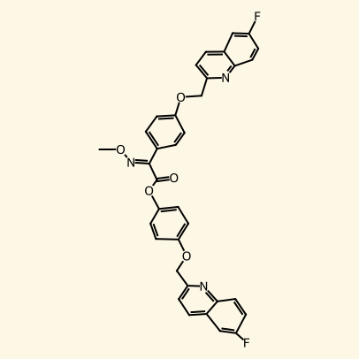 CON=C(C(=O)Oc1ccc(OCc2ccc3cc(F)ccc3n2)cc1)c1ccc(OCc2ccc3cc(F)ccc3n2)cc1